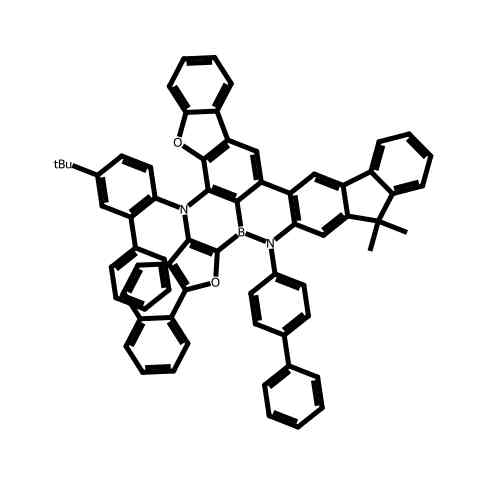 CC(C)(C)c1ccc(N2c3c(oc4c3ccc3ccccc34)B3c4c(cc5c(oc6ccccc65)c42)-c2cc4c(cc2N3c2ccc(-c3ccccc3)cc2)C(C)(C)c2ccccc2-4)c(-c2ccccc2)c1